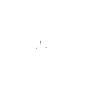 O.[I][Mn]([I])[I]